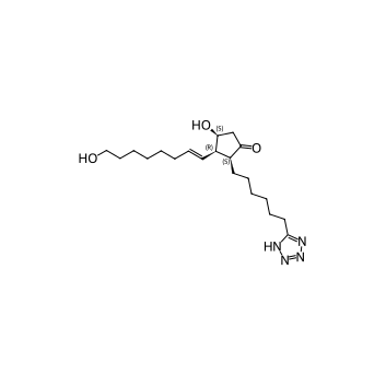 O=C1C[C@H](O)[C@H](C=CCCCCCCO)[C@@H]1CCCCCCc1nnn[nH]1